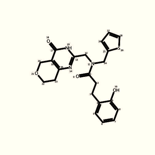 O=C(CCc1ccccc1O)N(Cc1nc2c(c(=O)[nH]1)COCC2)Cc1cccs1